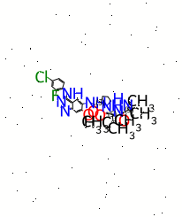 CN[C@@H](C)C(=O)N[C@H](C(=O)N1CCC[C@H]1C(=O)Nc1cc2c(Nc3ccc(Cl)cc3F)ncnc2cc1OC)C(C)(C)C